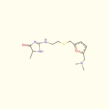 CC1NC(NCCSCc2ccc(CN(C)C)o2)=NC1=O